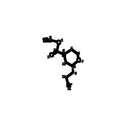 CC(C)(C)OC(=O)N1CCO[C@H](CCBr)C1